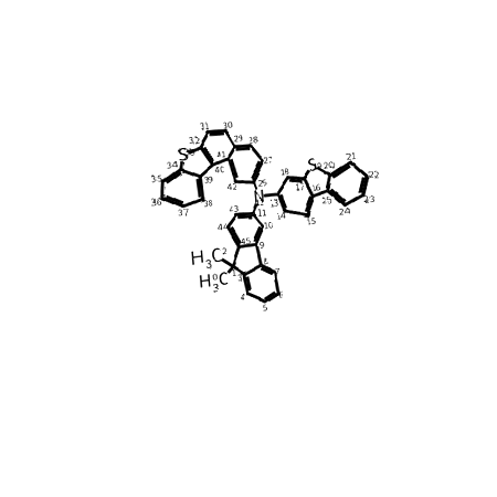 CC1(C)c2ccccc2-c2cc(N(c3ccc4c(c3)sc3ccccc34)c3ccc4ccc5sc6ccccc6c5c4c3)ccc21